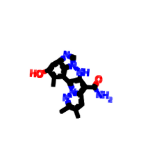 Cc1cc2c(C(N)=O)c3c(n2nc1C)-c1c(C)c(O)cc2ncn(c12)N3